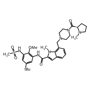 COc1c(NC(=O)c2cc3cccc(CN4CCN(C(=O)[C@H]5CCCN5C)CC4)c3n2C)cc(C(C)(C)C)cc1NS(C)(=O)=O